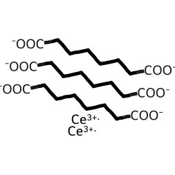 O=C([O-])CCCCCCC(=O)[O-].O=C([O-])CCCCCCC(=O)[O-].O=C([O-])CCCCCCC(=O)[O-].[Ce+3].[Ce+3]